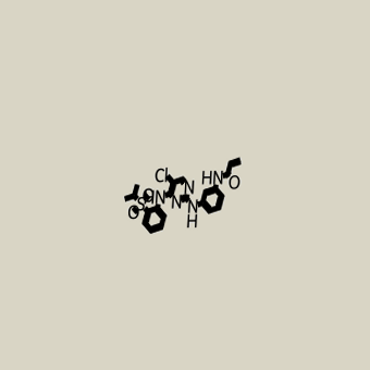 C=CC(=O)Nc1cccc(Nc2ncc(Cl)c(Nc3ccccc3S(=O)(=O)C(C)C)n2)c1